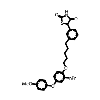 CCCc1cc(Oc2ccc(OC)cc2)ccc1OCCCCCc1cccc(C2SC(=O)NC2=O)c1